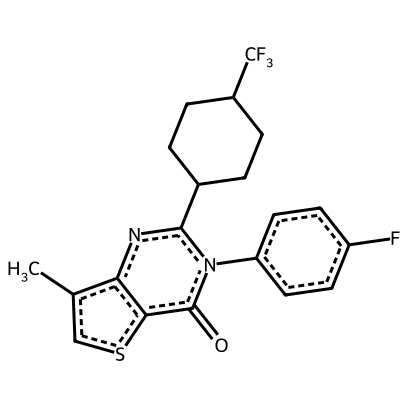 Cc1csc2c(=O)n(-c3ccc(F)cc3)c(C3CCC(C(F)(F)F)CC3)nc12